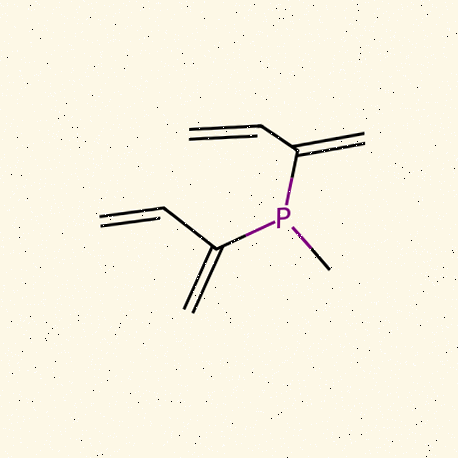 C=CC(=C)P(C)C(=C)C=C